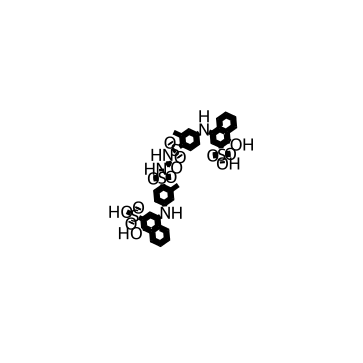 Cc1cc(Nc2cc(S(=O)(=O)O)c(O)c3ccccc23)ccc1S(=O)(=O)NC(=O)NS(=O)(=O)c1ccc(Nc2cc(S(=O)(=O)O)c(O)c3ccccc23)cc1C